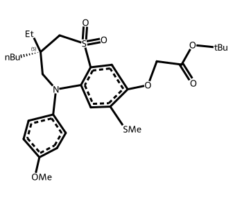 CCCC[C@@]1(CC)CN(c2ccc(OC)cc2)c2cc(SC)c(OCC(=O)OC(C)(C)C)cc2S(=O)(=O)C1